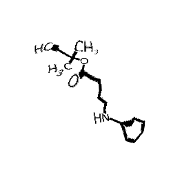 C#CC(C)(C)OC(=O)CCCNc1ccccc1